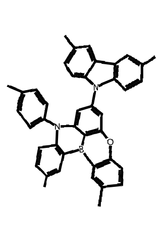 Cc1ccc(N2c3ccc(C)cc3B3c4cc(C)ccc4Oc4cc(-n5c6ccc(C)cc6c6cc(C)ccc65)cc2c43)cc1